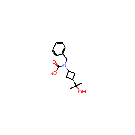 CC(C)(O)[C@H]1C[C@H](N(Cc2ccccc2)C(=O)O)C1